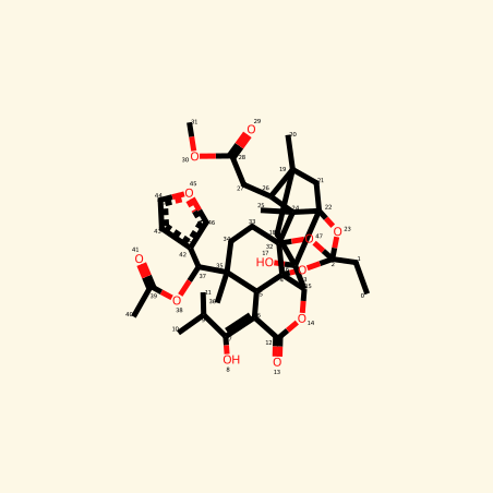 CCC12OC34C5/C(=C(/O)C(C)C)C(=O)OC3C3(O)CC6(C)CC3(O1)C(C)(C6CC(=O)OC)C4(CCC5(C)C(OC(C)=O)c1ccoc1)O2